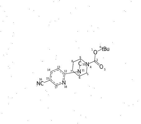 CC(C)(C)OC(=O)N1CC2CCC1CN2c1ccc(C#N)cn1